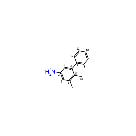 Cc1cc(N)cc(-c2ccccc2)c1C